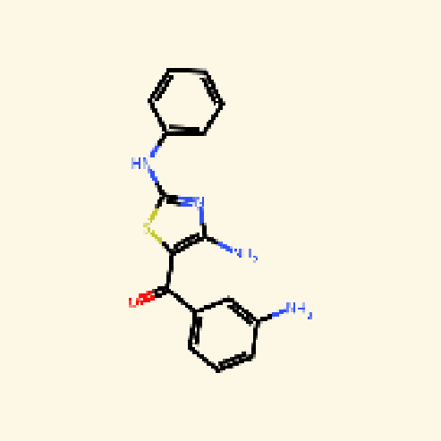 Nc1cccc(C(=O)c2sc(Nc3ccccc3)nc2N)c1